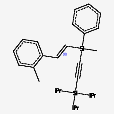 Cc1ccccc1/C=C/[Si](C)(C#C[Si](C(C)C)(C(C)C)C(C)C)c1ccccc1